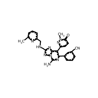 Cc1cccc(CNc2nc3c(-c4ccc(=O)n(C)n4)c(-c4cccc(C#N)c4)nc(N)n3n2)n1